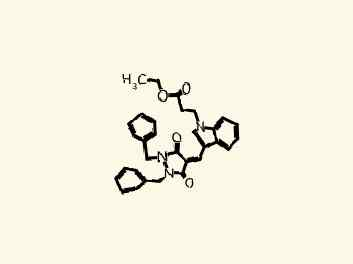 CCOC(=O)CCn1cc(C=C2C(=O)N(Cc3ccccc3)N(Cc3ccccc3)C2=O)c2ccccc21